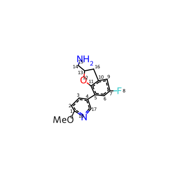 COc1ccc(-c2cc(F)cc3c2OC(CN)C3)cn1